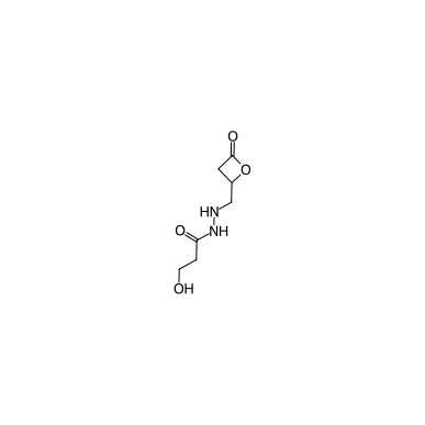 O=C(CCO)NNCC1CC(=O)O1